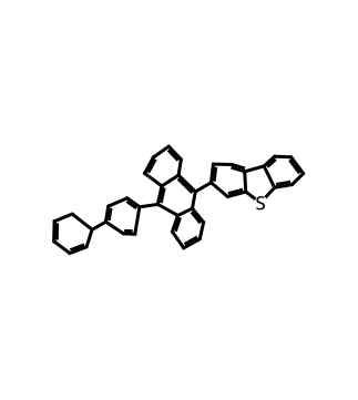 C1=CCC(c2ccc(-c3c4ccccc4c(-c4ccc5c(c4)sc4ccccc45)c4ccccc34)cc2)C=C1